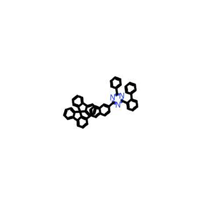 c1ccc(-c2nc(-c3ccc4cc(-c5cccc6c5C5(c7ccccc7-c7ccccc75)c5ccccc5-6)ccc4c3)nc(-c3ccccc3-c3ccccc3)n2)cc1